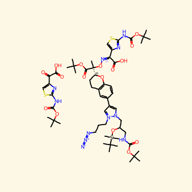 CC(C)(C)OC(=O)NCC(Cn1cc(-c2ccc3c(c2)CC[C@H](C(C)(O/N=C(\C(=O)O)c2csc(NC(=O)OC(C)(C)C)n2)C(=O)OC(C)(C)C)O3)c[n+]1CCCN=[N+]=[N-])O[Si](C)(C)C(C)(C)C.CC(C)(C)OC(=O)Nc1nc(C(=O)C(=O)O)cs1